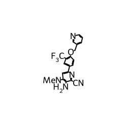 CNc1cc(-c2ccc(OCc3cccnc3)c(C(F)(F)F)c2)nc(C#N)c1N